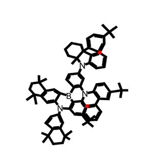 CC(C)(C)c1ccc(C23CCCCC2(C)N(c2ccc4c(c2)N(c2ccc(C(C)(C)C)cc2-c2ccccc2)c2cc(C(C)(C)C)cc5c2B4c2cc4c(cc2N5c2ccc5c(c2)C(C)(C)CCC5(C)C)C(C)(C)CCC4(C)C)c2ccccc23)cc1